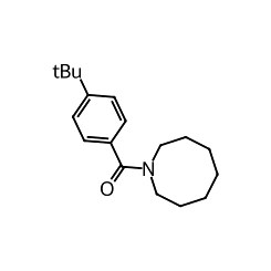 CC(C)(C)c1ccc(C(=O)N2CCCCCCC2)cc1